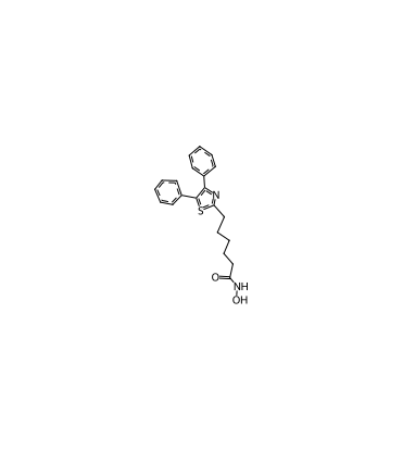 O=C(CCCCCc1nc(-c2ccccc2)c(-c2ccccc2)s1)NO